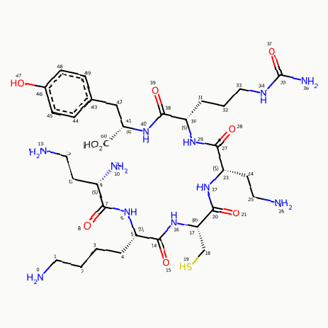 NCCCC[C@H](NC(=O)[C@@H](N)CCN)C(=O)N[C@@H](CS)C(=O)N[C@@H](CCN)C(=O)N[C@@H](CCCNC(N)=O)C(=O)N[C@@H](Cc1ccc(O)cc1)C(=O)O